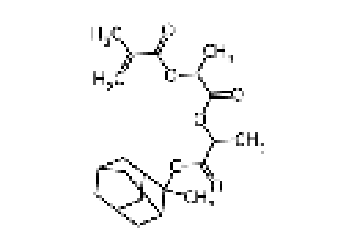 C=C(C)C(=O)OC(C)C(=O)OC(C)C(=O)OC1(C)C2CC3CC(C2)CC1C3